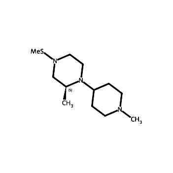 CSN1CCN(C2CCN(C)CC2)[C@@H](C)C1